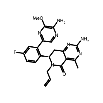 C=CCN1C(=O)c2c(C)nc(N)nc2C[C@@H]1c1ccc(F)cc1-c1cnc(N)c(OC)n1